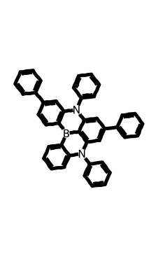 c1ccc(-c2ccc3c(c2)N(c2ccccc2)c2cc(-c4ccccc4)cc4c2B3c2ccccc2N4c2ccccc2)cc1